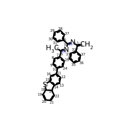 C=C(/N=C(\N=C(/C)c1ccc(-c2ccc3c(c2)SC2C=CC=CC32)cc1)c1ccccc1)c1ccccc1